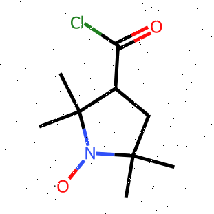 CC1(C)CC(C(=O)Cl)C(C)(C)N1[O]